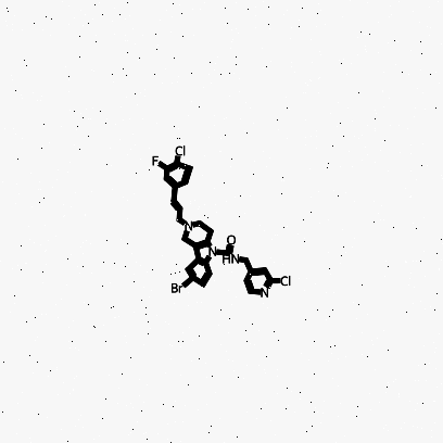 O=C(NCc1ccnc(Cl)c1)n1c2c(c3cc(Br)ccc31)CN(CC=Cc1ccc(Cl)c(F)c1)CC2